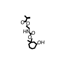 C=C(C)C(=O)OCCNC(=O)OCC1(C)CCCCC(O)C1